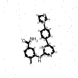 Cc1ccc(C(N)=O)cc1Nc1nccc(-c2ccc(-n3ccnc3)cc2)n1